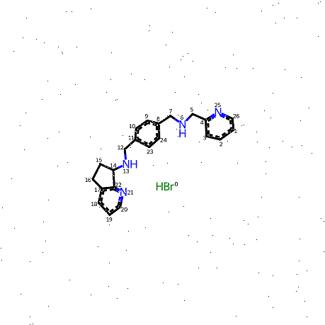 Br.c1ccc(CNCc2ccc(CNC3CCc4cccnc43)cc2)nc1